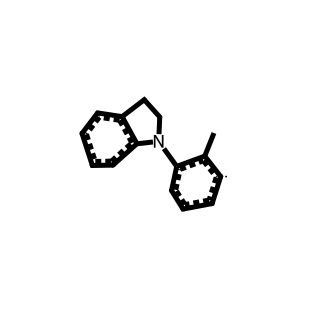 Cc1[c]cccc1N1CCc2ccccc21